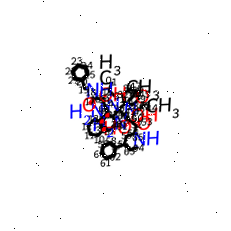 CCCCN(C(N)(CC1CCCCC1)C(O)C(=O)NCc1ccccc1)C(C1CCCCC1)(C1CCCCC1)[C@@](N)(N1C[C@@H](C)O[C@@H](C)C1)C(O)(O)C(=O)C1CC(c2ccccc2)=CCN1